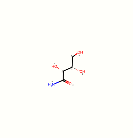 NC(=O)[C@H](O)[C@@H](O)CO